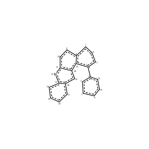 c1ccc(-c2cccc3ccc4nc5ccccc5cc4c23)cc1